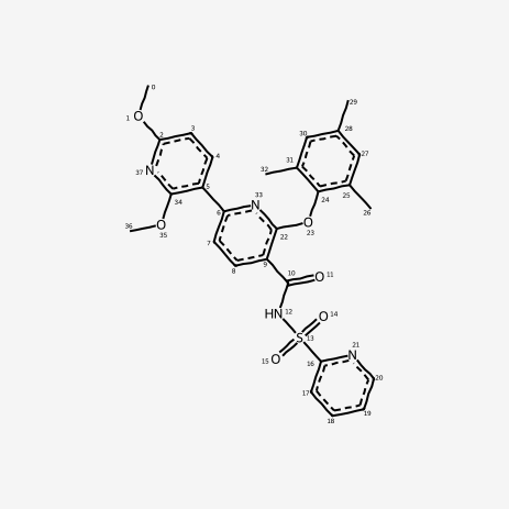 COc1ccc(-c2ccc(C(=O)NS(=O)(=O)c3ccccn3)c(Oc3c(C)cc(C)cc3C)n2)c(OC)n1